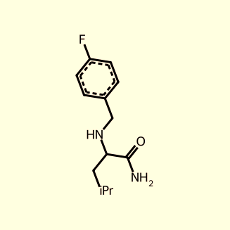 CC(C)CC(NCc1ccc(F)cc1)C(N)=O